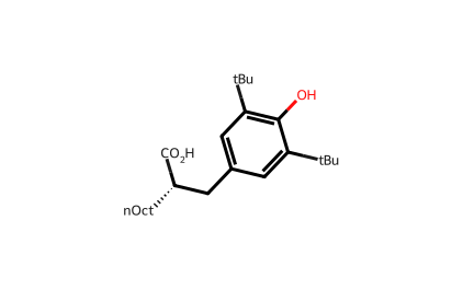 CCCCCCCC[C@@H](Cc1cc(C(C)(C)C)c(O)c(C(C)(C)C)c1)C(=O)O